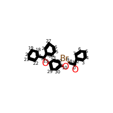 O=C(c1ccccc1)C(Br)Oc1ccc(OC(c2ccccc2)c2ccccc2)cc1